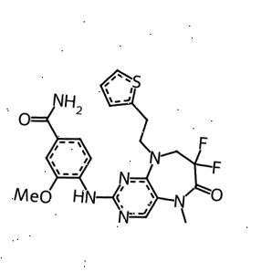 COc1cc(C(N)=O)ccc1Nc1ncc2c(n1)N(CCc1cccs1)CC(F)(F)C(=O)N2C